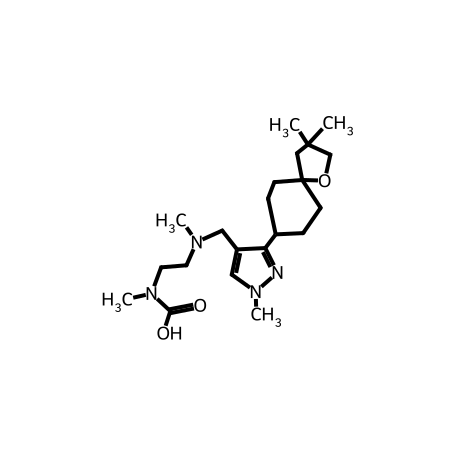 CN(CCN(C)C(=O)O)Cc1cn(C)nc1C1CCC2(CC1)CC(C)(C)CO2